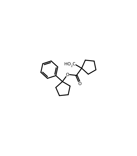 O=C(O)C1(C(=O)OC2(c3ccccc3)CCCC2)CCCC1